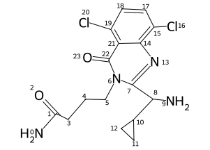 NC(=O)CCCn1c(C(N)C2CC2)nc2c(Cl)ccc(Cl)c2c1=O